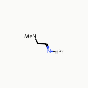 CCC/N=C/CNC